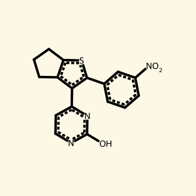 O=[N+]([O-])c1cccc(-c2sc3c(c2-c2ccnc(O)n2)CCC3)c1